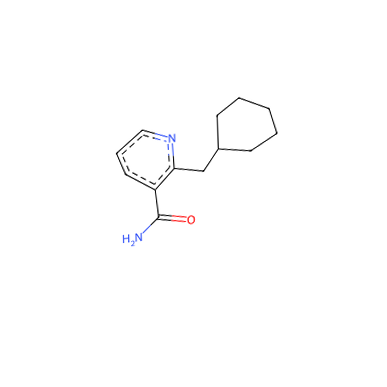 NC(=O)c1cccnc1CC1CCCCC1